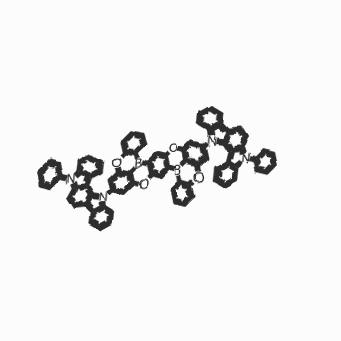 c1ccc(-n2c3ccccc3c3c2ccc2c4ccccc4n(-c4cc5c6c(c4)Oc4cc7c(cc4B6c4ccccc4O5)Oc4cc(-n5c6ccccc6c6ccc8c(c9ccccc9n8-c8ccccc8)c65)cc5c4B7c4ccccc4O5)c23)cc1